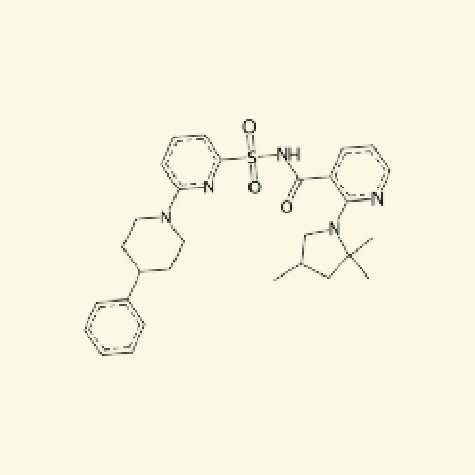 CC1CN(c2ncccc2C(=O)NS(=O)(=O)c2cccc(N3CCC(c4ccccc4)CC3)n2)C(C)(C)C1